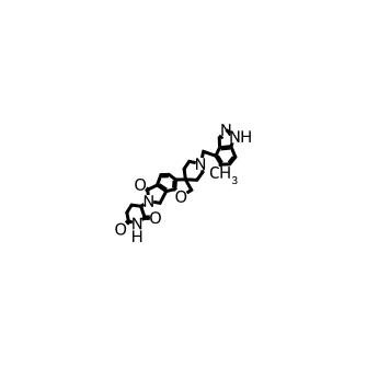 Cc1ccc2[nH]ncc2c1CN1CCC2(CC1)COc1c2ccc2c1CN(C1CCC(=O)NC1=O)C2=O